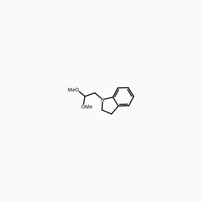 COC(CN1CCc2ccccc21)OC